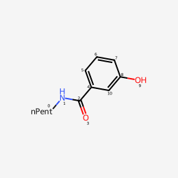 CCCCCNC(=O)c1cccc(O)c1